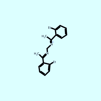 CCc1ccccc1C(C)=NC/N=C(\C)c1ccccc1CC